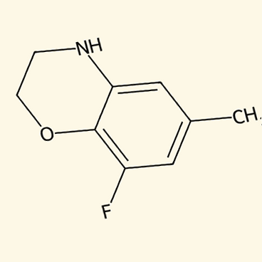 Cc1cc(F)c2c(c1)NCCO2